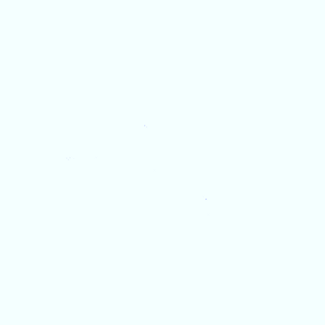 COC(=O)c1cccc(NS(=O)(=O)c2ccc(-c3nc(C)oc3C)cc2)c1